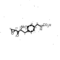 C[C@@]1(C(=O)[C@@H](N)Cc2ccc(CNC(=O)O)cc2)CO1